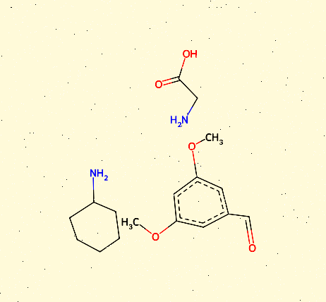 COc1cc(C=O)cc(OC)c1.NC1CCCCC1.NCC(=O)O